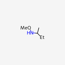 CCC(C)NOC